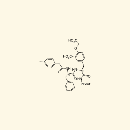 CCCCCNC(=O)[C@H](Cc1ccc(OCC(=O)O)c(C(=O)O)c1)NC(=O)[C@H](Cc1ccccc1)NC(=O)Cc1ccc(C)cc1